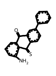 Nc1cccc2c1C(=S)c1ccc(-c3ccccc3)cc1C2=O